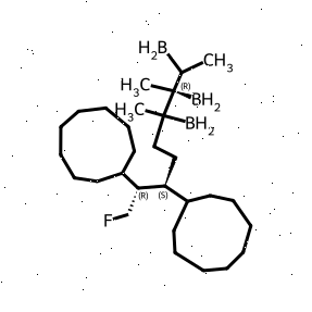 BC(C)[C@@](B)(C)C(B)(C)CC[C@@H](C1CCCCCCCC1)[C@H](CF)C1CCCCCCCC1